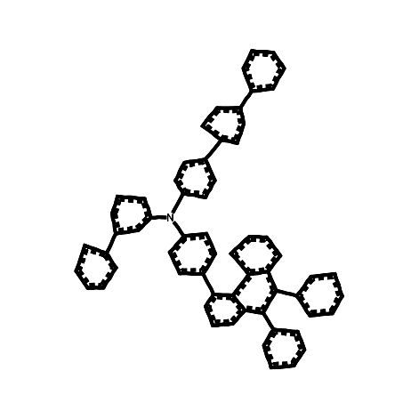 c1ccc(-c2ccc(-c3ccc(N(c4ccc(-c5cccc6c(-c7ccccc7)c(-c7ccccc7)c7ccccc7c56)cc4)c4cccc(-c5ccccc5)c4)cc3)cc2)cc1